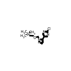 C[Si](C)(C)CCOCn1nccc1-c1cnc(Cl)nc1